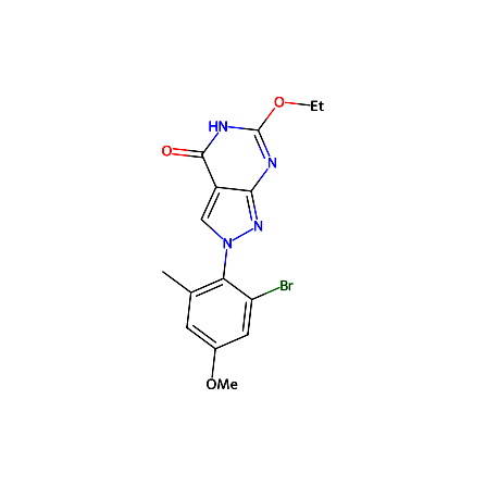 CCOc1nc2nn(-c3c(C)cc(OC)cc3Br)cc2c(=O)[nH]1